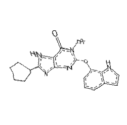 CCCn1c(Oc2cccc3cc[nH]c23)nc2nc(C3CCCC3)[nH]c2c1=O